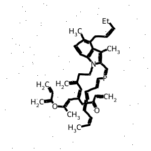 C=CC(=C)O/C(C)=C/C(=C\C(=C)CCn1c(/C=P\C=C\C=C=C/C=C\C)c(C)c2c(C/C=C\CC)c(C)ccc21)CC(=O)C=C